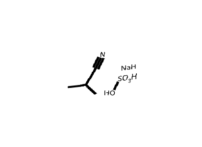 CC(C)C#N.O=S(=O)(O)O.[NaH]